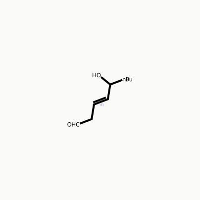 CCCCC(O)/C=C/CC=O